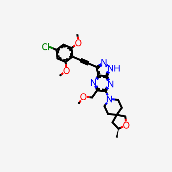 COCc1nc2c(C#Cc3c(OC)cc(Cl)cc3OC)n[nH]c2nc1N1CCC2(CC1)CO[C@@H](C)C2